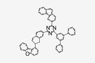 C1=CC(c2cccc3oc4ccccc4c23)Cc2cc(-c3nc(-c4cc(-c5ccccc5)cc(-c5ccccc5)c4)nc(-c4ccc5ccc6ccccc6c5c4)n3)ccc21